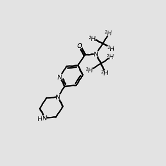 [2H]C([2H])([2H])N(C(=O)c1ccc(N2CCNCC2)nc1)C([2H])([2H])[2H]